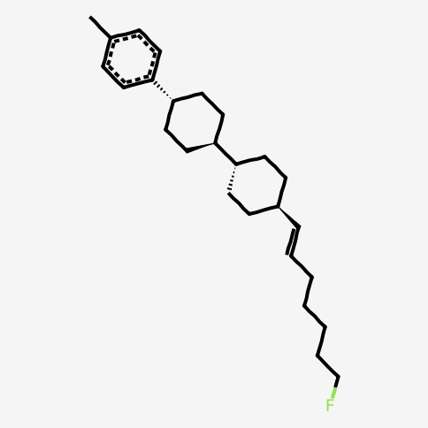 Cc1ccc([C@H]2CC[C@H]([C@H]3CC[C@H](C=CCCCCCF)CC3)CC2)cc1